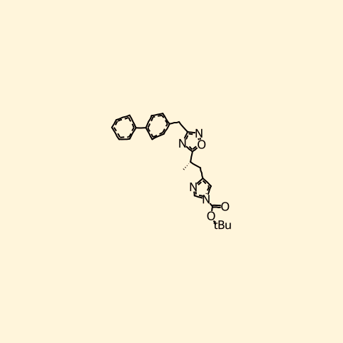 C[C@@H](Cc1cn(C(=O)OC(C)(C)C)cn1)c1nc(Cc2ccc(-c3ccccc3)cc2)no1